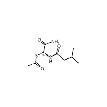 CC(=O)S[C@H](NC(=O)CC(C)C)C(N)=O